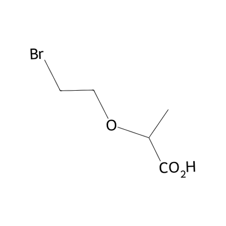 CC(OCCBr)C(=O)O